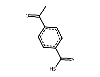 CC(=O)c1ccc(C(=S)S)cc1